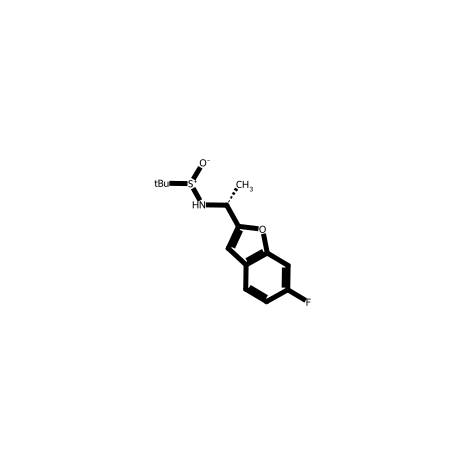 C[C@@H](N[S+]([O-])C(C)(C)C)c1cc2ccc(F)cc2o1